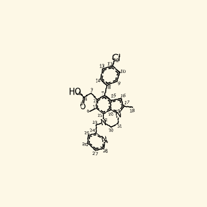 Cc1c(CC(=O)O)c(-c2ccc(Cl)cc2)c2cc(C)n3c2c1N(Cc1ccccn1)CC3